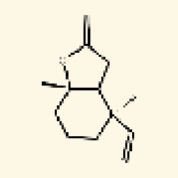 C=C[C@@]1(C)CCC[C@]2(C)OC(=C)CC12